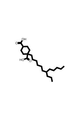 CCCCCC(CCC)CCCCCCC1(C(=O)O)CCC(C(=O)O)CC1